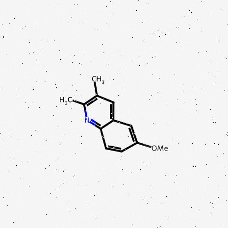 COc1ccc2nc(C)c(C)cc2c1